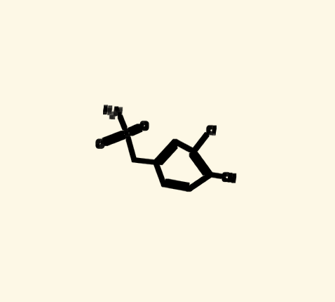 N#Cc1ccc(CS(N)(=O)=O)cc1Cl